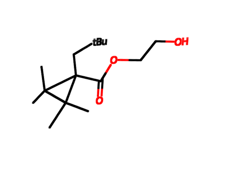 CC(C)(C)CC1(C(=O)OCCO)C(C)(C)C1(C)C